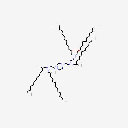 CCCCCCCCCCCCCN(CCN(CCN1CCN(CCN(CC(C)CCCCCCCCCCC)CC(C)CCCCCCCCCCC)CC1)CC(C)CCCCCCCCCCC)CC(O)CCCCCCCCCCC